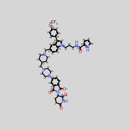 O=C1CCC(N2C(=O)c3ccc(N4CCN(CC5CCN(Cc6ccc7c(c6)c(-c6ccc(OC(F)(F)F)cc6)cn7CCCNC(=O)c6ccc[nH]6)CC5)CC4)cc3C2=O)C(=O)N1